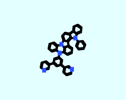 c1ccc(-n2c3ccccc3c3ccc4c(c5cccc6c5n4-c4ccccc4N6c4cc(-c5cccnc5)cc(-c5cccnc5)c4)c32)cc1